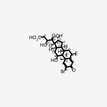 C[C@]12C=C(Br)C(=O)C=C1[C@H](F)C[C@H]1[C@@H]3C[C@@H](O)[C@](O)(C(=O)C(O)CC(=O)O)[C@@]3(C)C[C@H](O)[C@@]12F